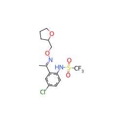 C/C(=N\OCC1CCCO1)c1cc(Cl)ccc1NS(=O)(=O)C(F)(F)F